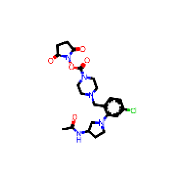 CC(=O)NC1CCN(c2cc(Cl)ccc2CN2CCN(C(=O)ON3C(=O)CCC3=O)CC2)C1